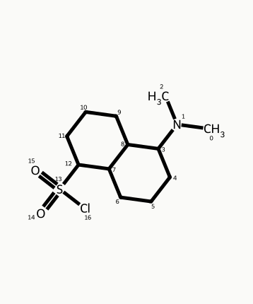 CN(C)C1CCCC2C1CCCC2S(=O)(=O)Cl